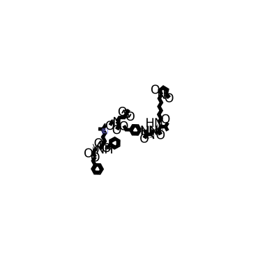 C/C(=C\CCP(=O)(N[C@@H](C)C(=O)OCc1ccccc1)Oc1ccccc1)COCN(CCS(C)(=O)=O)C(=O)OCc1ccc(NC(=O)[C@H](C)NC(=O)[C@@H](NC(=O)CCCCCN2C(=O)C=CC2=O)C(C)C)cc1